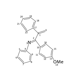 C=C(C(=Nc1ccccc1)c1ccc(OC)cc1)c1ccccc1